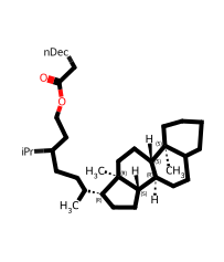 CCCCCCCCCCCC(=O)OCCC(CCC(C)[C@H]1CC[C@H]2[C@@H]3CCC4CCCC[C@]4(C)[C@H]3CC[C@]12C)C(C)C